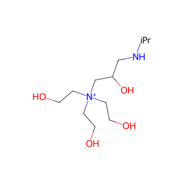 CC(C)NCC(O)C[N+](CCO)(CCO)CCO